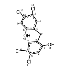 Oc1cc(Cl)c(Cl)cc1Cc1cc(Cl)c(Cl)cc1O